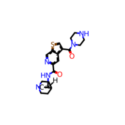 O=C(N[C@H]1CN2CCC1CC2)c1cc2c(C(=O)N3CCNCC3)csc2cn1